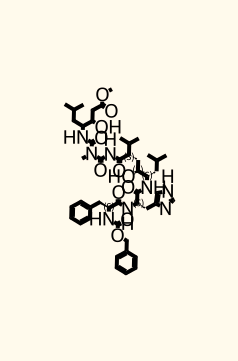 COC(=O)CC(O)C(CC(C)C)NC(=O)N(C)C(=O)NC(=O)[C@@H](C[C@H](O)[C@H](CC(C)C)NC(=O)[C@H](Cc1c[nH]cn1)NC(=O)[C@H](Cc1ccccc1)NC(=O)OCc1ccccc1)C(C)C